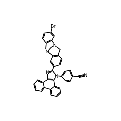 N#Cc1ccc(-n2c(-c3ccc4c(c3)N3Cc5ccc(Br)cc5N(C4)C3)nc3c4ccccc4c4ccccc4c32)cc1